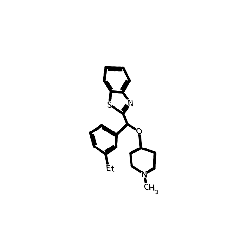 CCc1cccc(C(OC2CCN(C)CC2)c2nc3ccccc3s2)c1